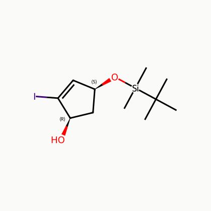 CC(C)(C)[Si](C)(C)O[C@@H]1C=C(I)[C@H](O)C1